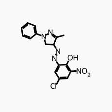 CC1=NN(c2ccccc2)CC1N=Nc1cc(Cl)cc([N+](=O)[O-])c1O